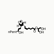 CCCCC[C@H](O)/C=C/[C@@H]1[C@@H](C/C=C\CCCC(=O)OC(CO)CO)[C@@H]2C[C@H]1OO2